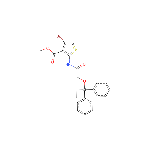 COC(=O)c1c(Br)csc1NC(=O)CO[Si](c1ccccc1)(c1ccccc1)C(C)(C)C